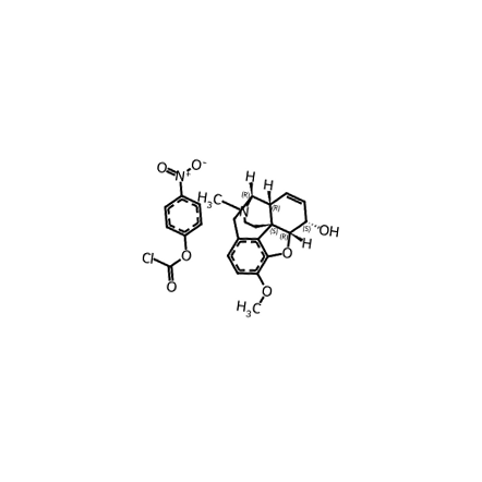 COc1ccc2c3c1O[C@H]1[C@@H](O)C=C[C@H]4[C@@H](C2)N(C)CC[C@@]341.O=C(Cl)Oc1ccc([N+](=O)[O-])cc1